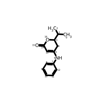 CC(C)C1CC(Nc2ccccc2)=CC(=O)O1